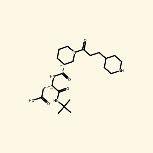 CC(C)(C)NC(=O)[C@H](CC(=O)O)NC(=O)[C@@H]1CCCN(C(=O)CCC2CCNCC2)C1